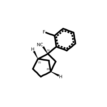 N#C[C@@]1(c2ccccc2F)C[C@@H]2CC[C@H]1C2